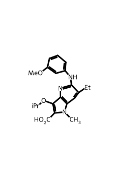 CCc1cc2c(nc1Nc1cccc(OC)c1)c(OC(C)C)c(C(=O)O)n2C